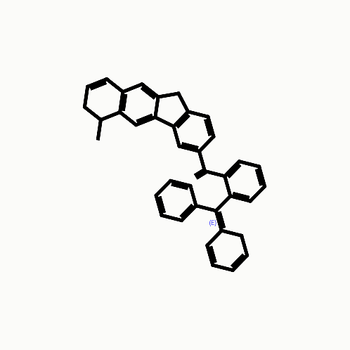 C=C(c1ccc2c(c1)-c1cc3c(cc1C2)C=CCC3C)c1ccccc1/C(=C1/C=CC=CC1)c1ccccc1